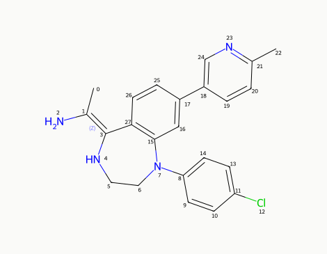 C/C(N)=C1/NCCN(c2ccc(Cl)cc2)c2cc(-c3ccc(C)nc3)ccc21